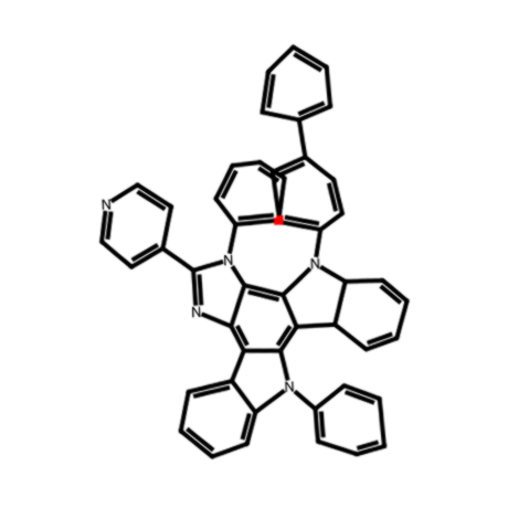 C1=CC2c3c(c4c(nc(-c5ccncc5)n4-c4ccccc4)c4c5ccccc5n(-c5ccccc5)c34)N(c3ccc(-c4ccccc4)cc3)C2C=C1